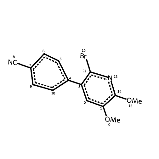 COc1cc(-c2ccc(C#N)cc2)c(Br)nc1OC